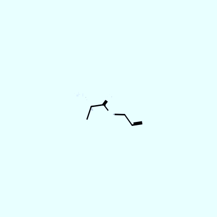 C=CCOC(=O)[C@H](C)CCC